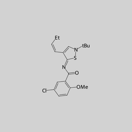 CC/C=C\c1cn(C(C)(C)C)s/c1=N\C(=O)c1cc(Cl)ccc1OC